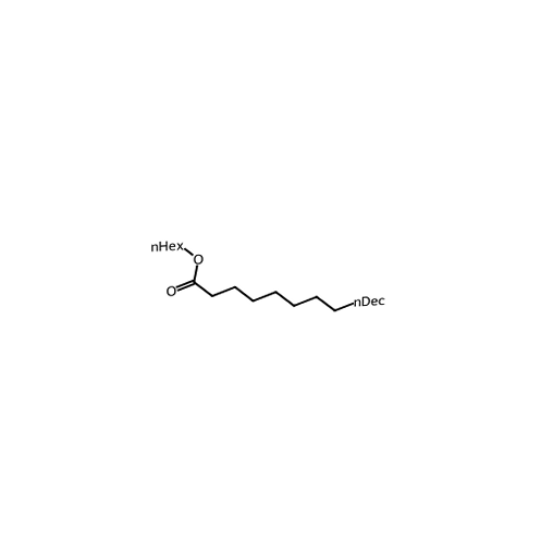 CCCCCCCCCCCCCCCCCC(=O)OCCCCCC